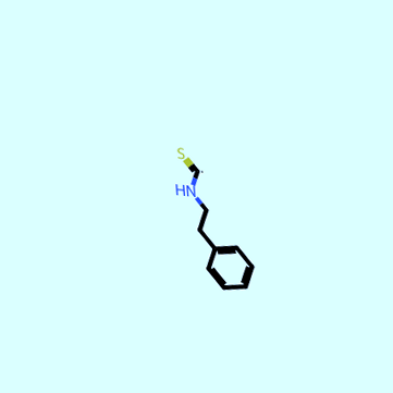 S=[C]NCCc1ccccc1